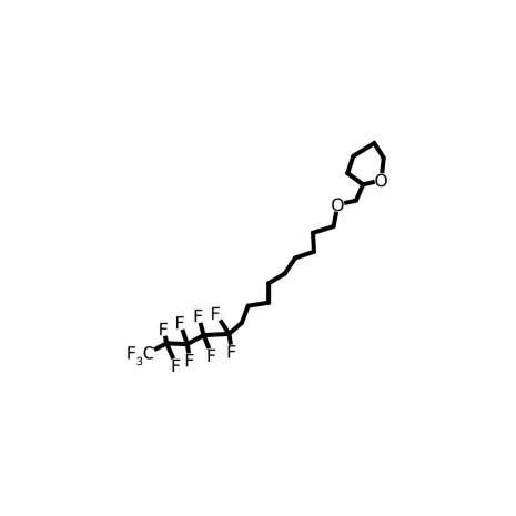 FC(F)(F)C(F)(F)C(F)(F)C(F)(F)C(F)(F)CCCCCCCCCOCC1CCCCO1